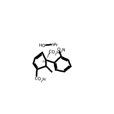 CC1C(C(=O)O)=CC=C[C@@]1(C(=O)O)c1ccccc1[N+](=O)[O-].CCCO